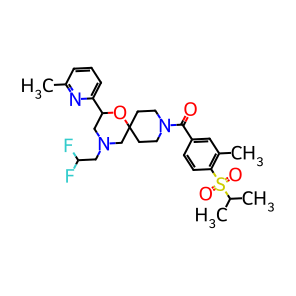 Cc1cccc(C2CN(CC(F)F)CC3(CCN(C(=O)c4ccc(S(=O)(=O)C(C)C)c(C)c4)CC3)O2)n1